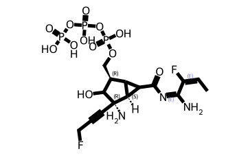 C/C=C(F)\C(N)=N/C(=O)C1C2[C@H](COP(=O)(O)OP(=O)(O)OP(=O)(O)O)C(O)[C@](N)(C#CCF)[C@H]12